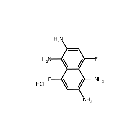 Cl.Nc1cc(F)c2c(N)c(N)cc(F)c2c1N